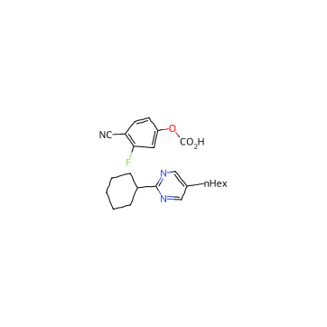 CCCCCCc1cnc(C2CCCCC2)nc1.N#Cc1ccc(OC(=O)O)cc1F